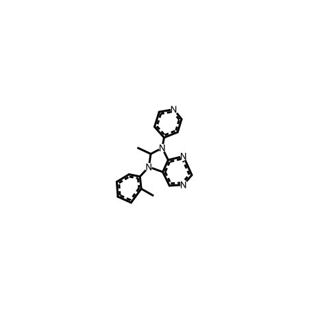 Cc1ccccc1N1c2cncnc2N(c2ccncc2)C1C